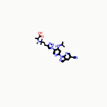 CC(C)Nc1cc(-n2ncc3cc(C#N)cnc32)ncc1-n1cc(CCC(C)(C)N(C)C(C)C(=O)O)nn1